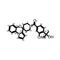 COc1cc(C(=O)N2CCC3(CC2)Oc2ccccc2-n2cccc23)ccc1C(C)(C)O